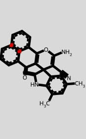 Cc1cc(C)c2c(c1)C1(C(=O)N2)C(C#N)=C(N)OC(c2ccccc2)=C1C(=O)c1ccccc1